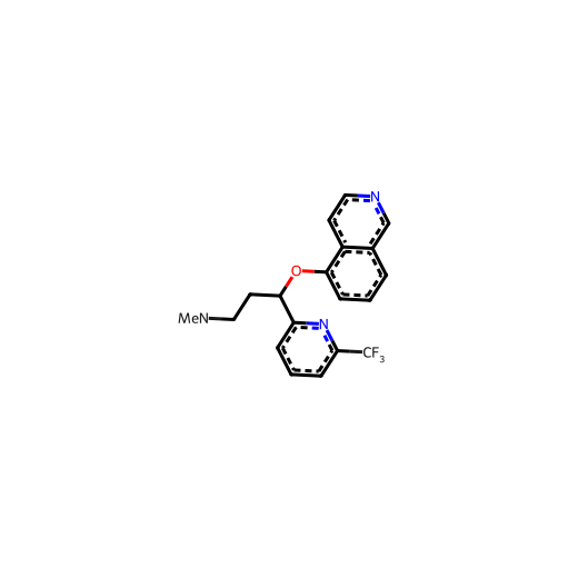 CNCCC(Oc1cccc2cnccc12)c1cccc(C(F)(F)F)n1